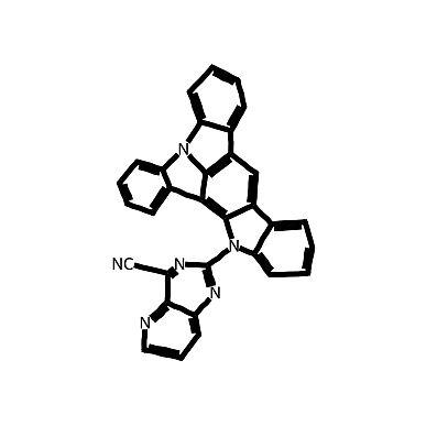 N#Cc1nc(-n2c3ccccc3c3cc4c5ccccc5n5c6ccccc6c(c32)c45)nc2cccnc12